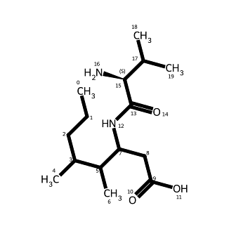 CCCC(C)C(C)C(CC(=O)O)NC(=O)[C@@H](N)C(C)C